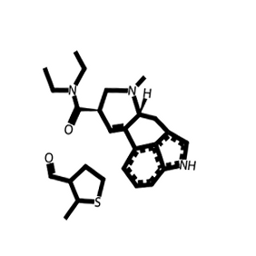 CC1SCCC1C=O.CCN(CC)C(=O)[C@@H]1C=C2c3cccc4[nH]cc(c34)C[C@H]2N(C)C1